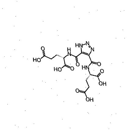 O=C(O)CC[C@H](NC(=O)c1nn[nH]c1C(=O)N[C@@H](CCC(=O)O)C(=O)O)C(=O)O